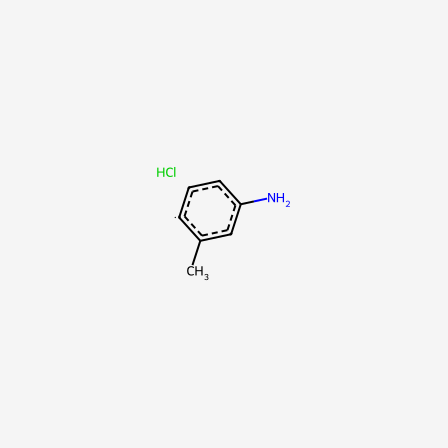 Cc1[c]ccc(N)c1.Cl